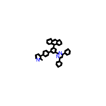 Cc1ncccc1-c1ccc(-c2cc(-c3nc(-c4ccccc4)cc(-c4ccccc4)n3)cc(-c3c4ccccc4cc4ccccc34)c2)cc1